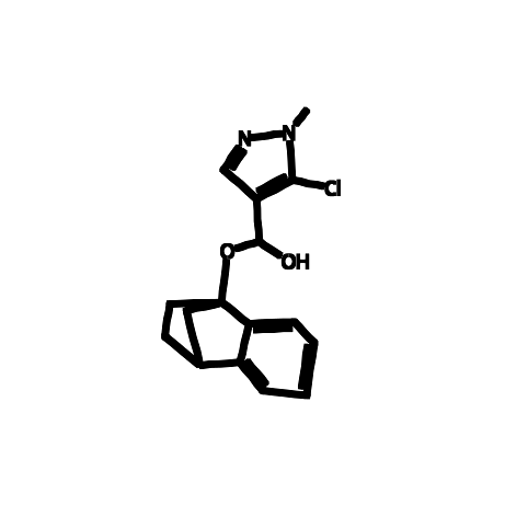 Cn1ncc(C(O)OC23CCC(C2)c2ccccc23)c1Cl